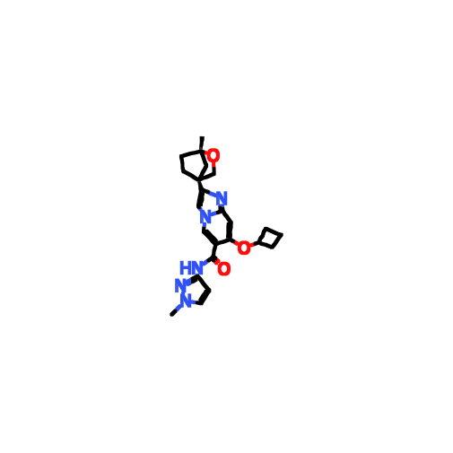 Cn1ccc(NC(=O)c2cn3cc([C@@]45CC[C@@](C)(C4)OC5)nc3cc2OC2CCC2)n1